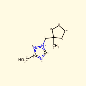 CC1(Cn2cnc(C(=O)O)n2)CCCC1